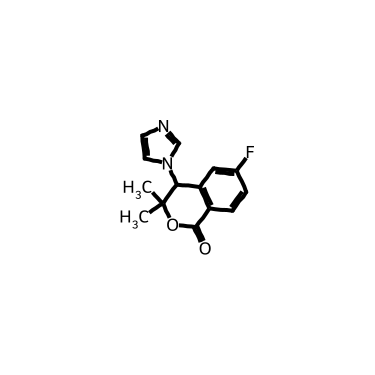 CC1(C)OC(=O)c2ccc(F)cc2C1n1ccnc1